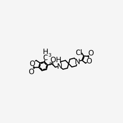 Cc1c([C@@H](O)CN2CCC3(CC2)CCN(C2=C(Cl)C(=O)OC2)CC3)ccc2c1COC2=O